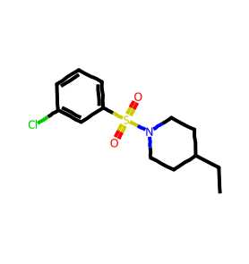 CCC1CCN(S(=O)(=O)c2cccc(Cl)c2)CC1